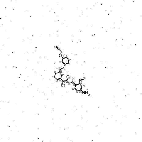 C#CCOc1cccc(CNC2CCC=C(N(CC)C(=O)CNc3ccc(N)cc3N=C)C2)c1